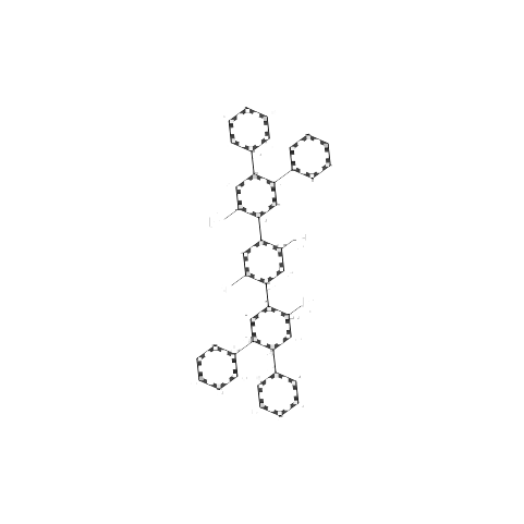 Brc1cc(-c2cc(-c3ccccc3)c(-c3ccccc3)cc2Br)c(Br)cc1-c1cc(-c2ccccc2)c(-c2ccccc2)cc1Br